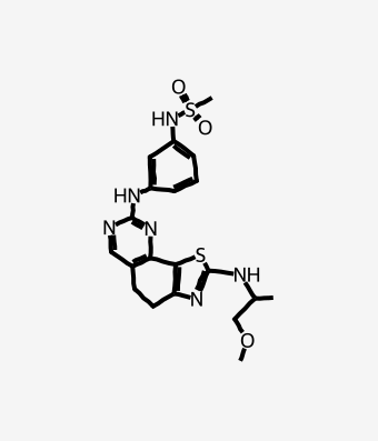 COCC(C)Nc1nc2c(s1)-c1nc(Nc3cccc(NS(C)(=O)=O)c3)ncc1CC2